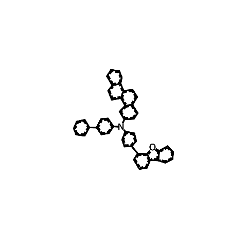 c1ccc(-c2ccc(N(c3ccc(-c4cccc5c4oc4ccccc45)cc3)c3ccc4ccc5c6ccccc6ccc5c4c3)cc2)cc1